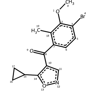 COc1c(Br)ccc(C(=O)c2cnoc2C2CC2)c1C